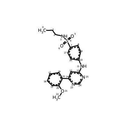 CCCNS(=O)(=O)c1ccc(Nc2cc(-c3ccccc3OC)ncn2)cc1